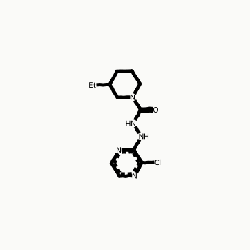 CCC1CCCN(C(=O)NNc2nccnc2Cl)C1